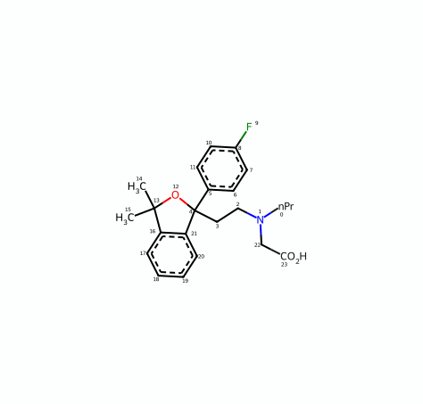 CCCN(CCC1(c2ccc(F)cc2)OC(C)(C)c2ccccc21)CC(=O)O